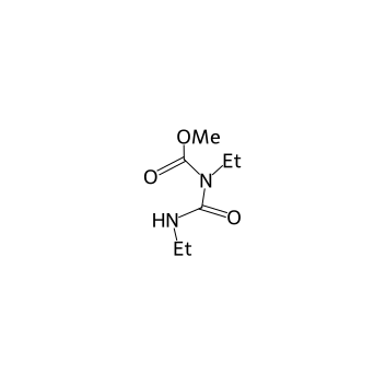 CCNC(=O)N(CC)C(=O)OC